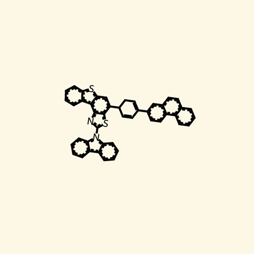 C1=CC(c2cc3sc4ccccc4c3c3nc(-n4c5ccccc5c5ccccc54)sc23)CC=C1c1ccc2c(ccc3ccccc32)c1